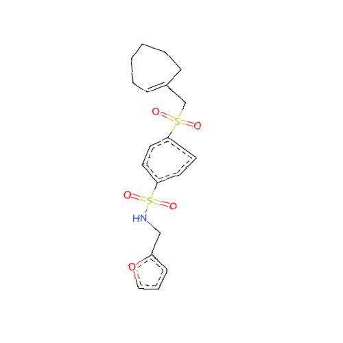 O=S(=O)(CC1=CCCCCC1)c1ccc(S(=O)(=O)NCc2ccco2)cc1